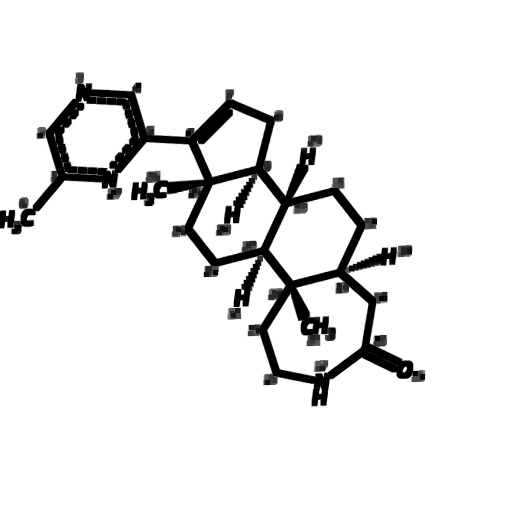 Cc1cncc(C2=CC[C@H]3[C@@H]4CC[C@H]5CC(=O)NCC[C@]5(C)[C@H]4CC[C@]23C)n1